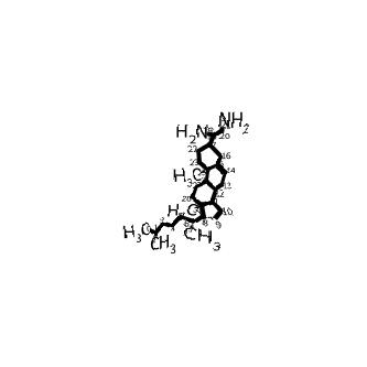 CC(C)CCC[C@@H](C)[C@H]1CCC2C3CC=C4CC(C(N)CN)CC[C@]4(C)C3CC[C@@]21C